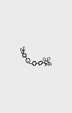 Cc1[nH]c(C)c(-c2ccc(-c3ccc(CN4CCC(c5ccc(OC(F)(F)F)cc5)CC4)cc3)cc2)c(=O)c1Cl